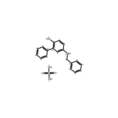 O=S(=O)(O)O.Oc1ccc(NCc2ccccc2)cc1-c1ccccc1